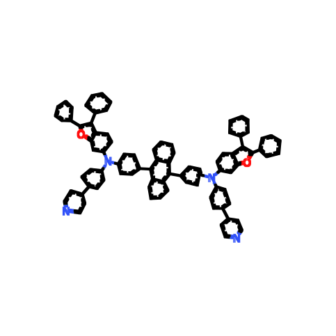 c1ccc(-c2oc3cc(N(c4ccc(-c5ccncc5)cc4)c4ccc(-c5c6ccccc6c(-c6ccc(N(c7ccc(-c8ccncc8)cc7)c7ccc8c(-c9ccccc9)c(-c9ccccc9)oc8c7)cc6)c6ccccc56)cc4)ccc3c2-c2ccccc2)cc1